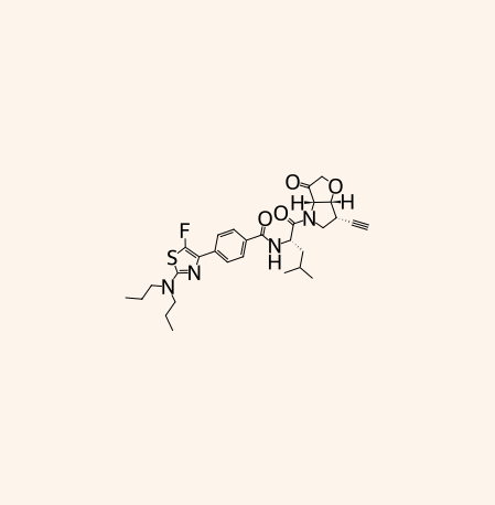 C#C[C@@H]1CN(C(=O)[C@H](CC(C)C)NC(=O)c2ccc(-c3nc(N(CCC)CCC)sc3F)cc2)[C@@H]2C(=O)CO[C@H]12